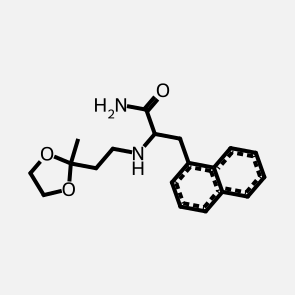 CC1(CCNC(Cc2cccc3ccccc23)C(N)=O)OCCO1